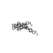 CC(C)[C@@H]1N(c2ccnc(N[C@@H](C)c3cn(-c4ccc(C(F)(F)F)cc4)cn3)n2)C(=O)NC12COC2